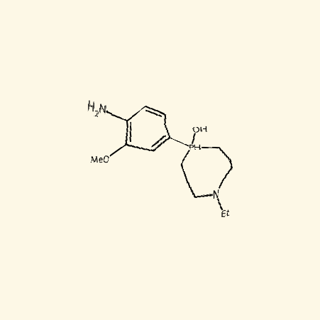 CCN1CC[PH](O)(c2ccc(N)c(OC)c2)CC1